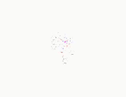 C[C@H](NC(=O)OCc1ccccc1)C(=O)N[C@@H](CC(Cc1ccccc1)C(=O)O)C(=O)N[C@H](C(=O)NCC(=O)OCc1ccccc1)C(Cc1ccccc1)C(=O)O